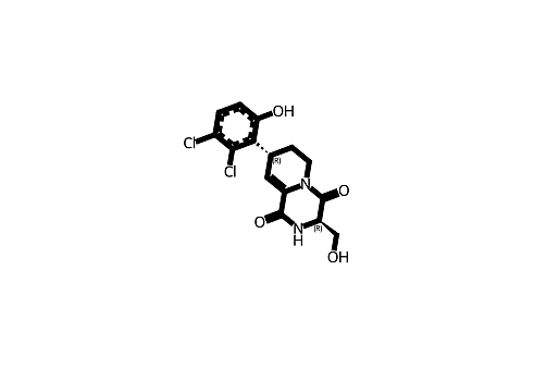 O=C1N[C@H](CO)C(=O)N2CC[C@@H](c3c(O)ccc(Cl)c3Cl)C=C12